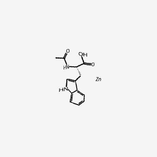 CC(=O)N[C@@H](Cc1c[nH]c2ccccc12)C(=O)O.[Zn]